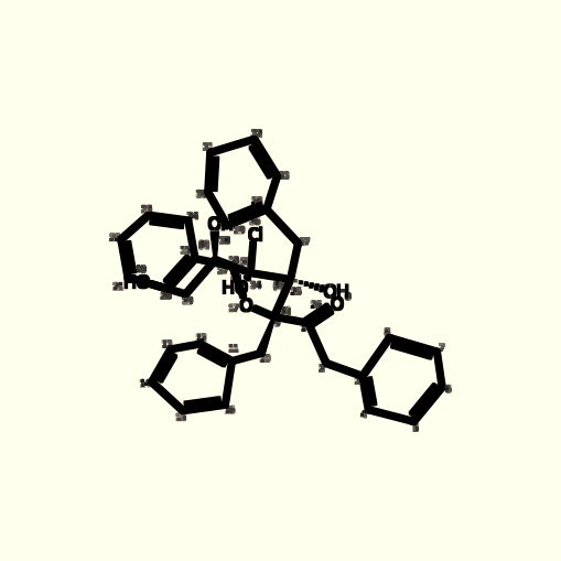 O=C(Cc1ccccc1)[C@](Cc1ccccc1)(OCc1ccccc1)[C@](O)(Cc1ccccc1)[C@](O)(Cl)[C@H](O)CO